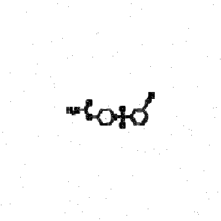 N#Cc1cccc(S(=O)(=O)N2CCC(OC(N)=O)CC2)c1